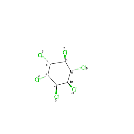 Cl[C@H]1[C@H](Cl)[C@H](Cl)[C@@H](Cl)[C@H](Cl)[C@H]1Cl